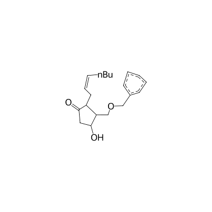 CCCC/C=C\CC1C(=O)CC(O)C1COCc1ccccc1